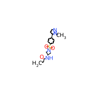 C=CC(=O)NC1CN(S(=O)(=O)c2ccc(-c3ccnn3C)cc2)C1